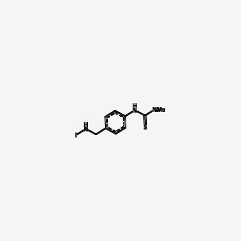 CNC(=S)Nc1ccc(CNI)cc1